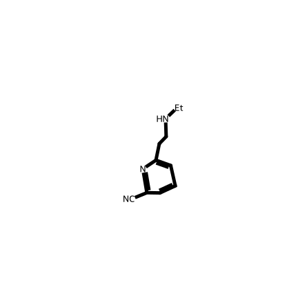 CCNCCc1cccc(C#N)n1